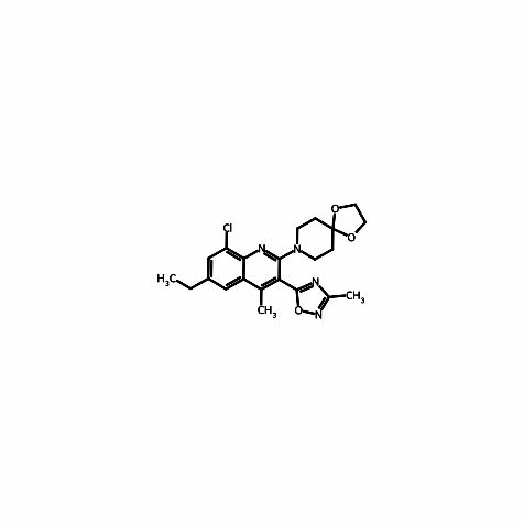 CCc1cc(Cl)c2nc(N3CCC4(CC3)OCCO4)c(-c3nc(C)no3)c(C)c2c1